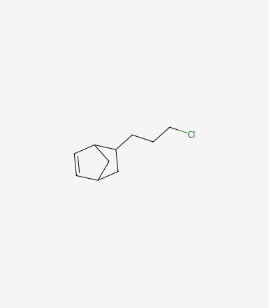 ClCCCC1CC2C=CC1C2